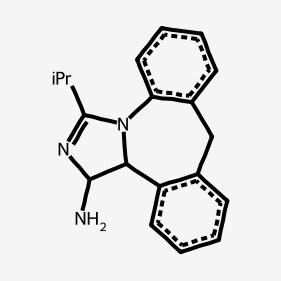 CC(C)C1=NC(N)C2c3ccccc3Cc3ccccc3N12